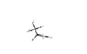 [O]=[Cu]=[C](F)C(F)(F)F